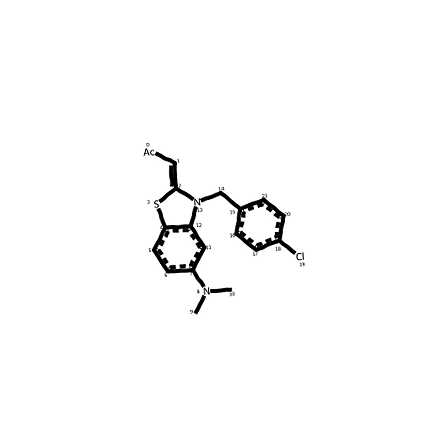 CC(=O)/C=C1\Sc2ccc(N(C)C)cc2N1Cc1ccc(Cl)cc1